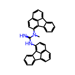 CN(C(=N)Nc1ccc2cccc3c2c1-c1ccccc1-3)c1ccc2cccc3c2c1-c1ccccc1-3